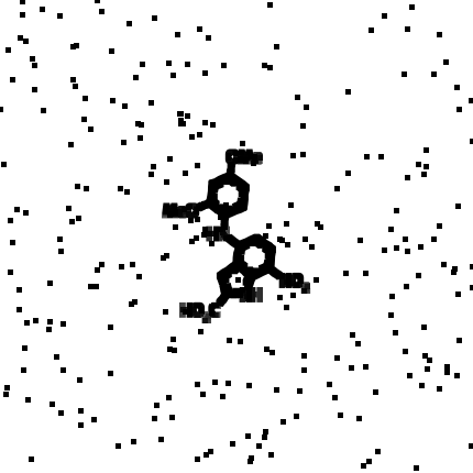 COc1ccc(Nc2ccc([N+](=O)[O-])c3[nH]c(C(=O)O)cc23)c(OC)c1